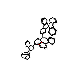 c1ccc(-c2ccccc2N(c2ccc(-c3ccc(C45CC6CC(CC(C6)C4)C5)c4ccccc34)cc2)c2ccc3c(c2)C2(c4ccccc4-c4ccccc42)c2ccccc2-3)cc1